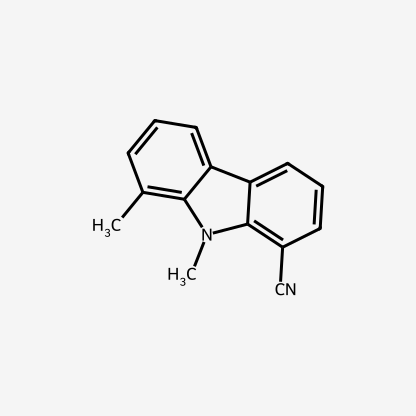 Cc1cccc2c3cccc(C#N)c3n(C)c12